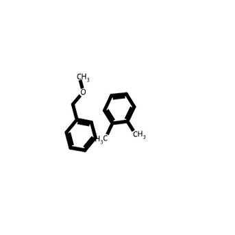 COCc1ccccc1.Cc1ccccc1C